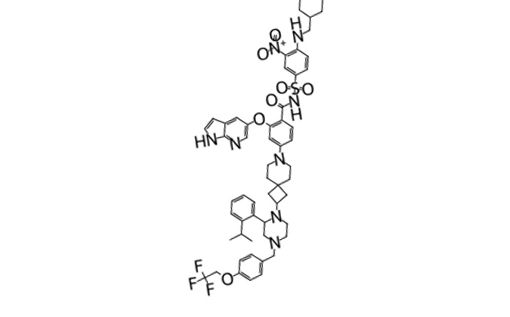 CC(C)c1ccccc1C1CN(Cc2ccc(OCC(F)(F)F)cc2)CCN1C1CC2(CCN(c3ccc(C(=O)NS(=O)(=O)c4ccc(NCC5CCC(C)(O)CC5)c([N+](=O)[O-])c4)c(Oc4cnc5[nH]ccc5c4)c3)CC2)C1